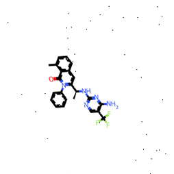 Cc1cccc2cc([C@H](C)Nc3ncc(C(F)(F)F)c(N)n3)n(-c3ccccc3)c(=O)c12